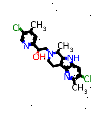 Cc1cc(C(O)CN2CCc3c([nH]c4cc(Cl)c(C)nc34)C2C)ncc1Cl